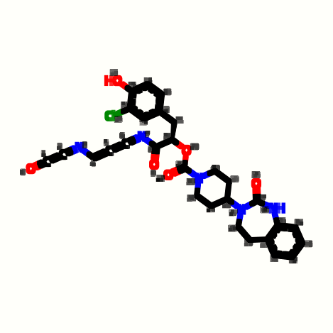 O=C=C=NC=C=C=NC(=O)[C@@H](Cc1ccc(O)c(Cl)c1)OC(=O)N1CCC(N2CCc3ccccc3NC2=O)CC1